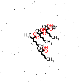 CCCCC(CC)C(=O)O.CCCCC(CC)C(=O)O.CCCCC(CC)C(=O)O.CCCCC(CC)C(=O)O.[Ti].[Zr]